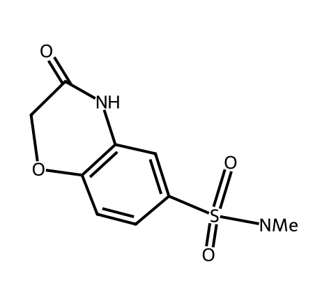 CNS(=O)(=O)c1ccc2c(c1)NC(=O)CO2